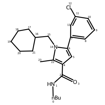 CCCCNC(=O)c1cc(-c2cccc(Cl)c2)n(CC2CCCCC2)c1C